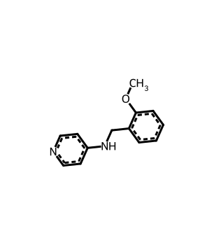 COc1ccccc1CNc1ccncc1